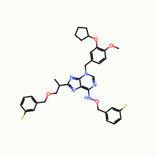 COc1ccc(Cn2cnc(NOCc3cccc(F)c3)c3nc(C(C)COCc4cccc(F)c4)nc2-3)cc1OC1CCCC1